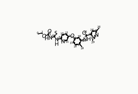 CCOC(=O)NC(=S)Nc1ccc(Oc2ccc(C)c(NC(=O)c3cc(C)nn3C)c2)cn1